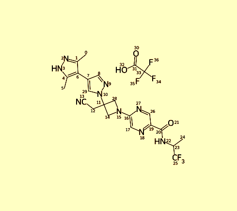 Cc1n[nH]c(C)c1-c1cnn(C2(CC#N)CN(c3cnc(C(=O)NC(C)C(F)(F)F)cn3)C2)c1.O=C(O)C(F)(F)F